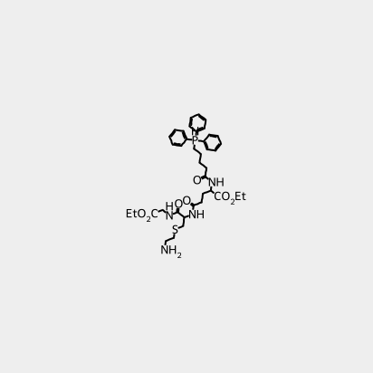 CCOC(=O)CNC(=O)C(CSCCN)NC(=O)CCC(NC(=O)CCCC[PH](c1ccccc1)(c1ccccc1)c1ccccc1)C(=O)OCC